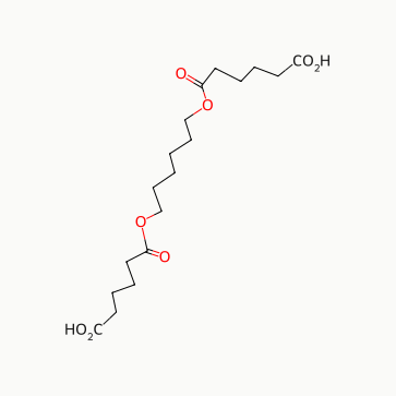 O=C(O)CCCCC(=O)OCCCCCCOC(=O)CCCCC(=O)O